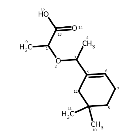 CC(OC(C)C1=CCCC(C)(C)C1)C(=O)O